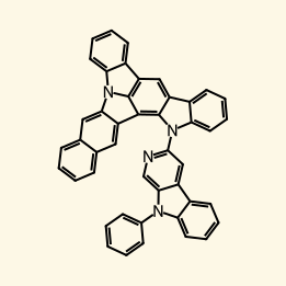 c1ccc(-n2c3ccccc3c3cc(-n4c5ccccc5c5cc6c7ccccc7n7c8cc9ccccc9cc8c(c54)c67)ncc32)cc1